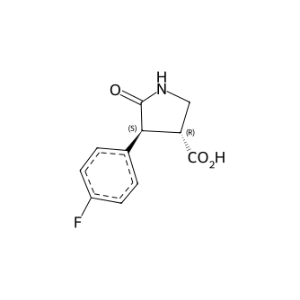 O=C(O)[C@H]1CNC(=O)[C@@H]1c1ccc(F)cc1